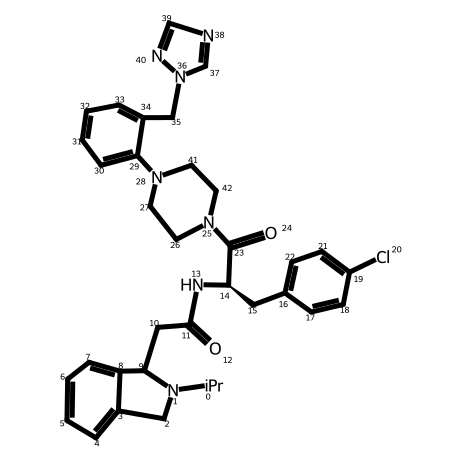 CC(C)N1Cc2ccccc2C1CC(=O)N[C@H](Cc1ccc(Cl)cc1)C(=O)N1CCN(c2ccccc2Cn2cncn2)CC1